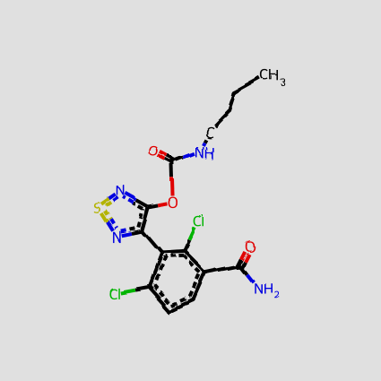 CCCCNC(=O)Oc1nsnc1-c1c(Cl)ccc(C(N)=O)c1Cl